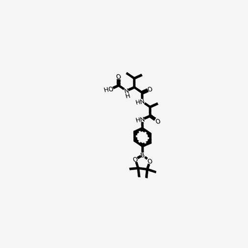 CC(NC(=O)C(NC(=O)O)C(C)C)C(=O)Nc1ccc(B2OC(C)(C)C(C)(C)O2)cc1